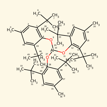 Cc1cc(C(C)(C)C)c([O][Al]([O]c2c(C(C)(C)C)cc(C)cc2C(C)(C)C)[O]c2c(C(C)(C)C)cc(C)cc2C(C)(C)C)c(C(C)(C)C)c1